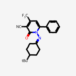 CC(C)(C)C1CCC(=Nn2c(-c3ccccc3)cc(C(F)(F)F)c(C#N)c2=O)CC1